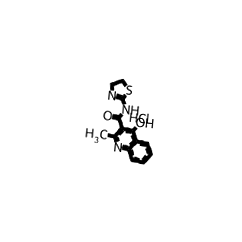 Cc1nc2ccccc2c(O)c1C(=O)NC1=NCCS1.Cl